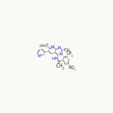 COc1nc2nc(C)nc(N[C@H](C)c3cc([N+](=O)[O-])cc(C(F)(F)F)c3)c2cc1-c1cccnc1